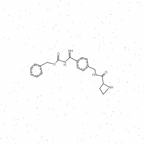 N=C(NC(=O)OCc1ccccc1)c1ccc(CNC(=O)C2CCN2)cc1